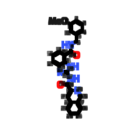 COc1cccc(CNC(=O)c2cccc3nc(NC(=O)c4cc5ccccc5cn4)[nH]c23)c1